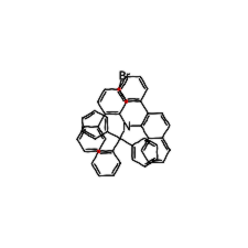 Brc1ccc(-c2ccccc2)c(N(c2c(-c3ccccc3)ccc3ccccc23)C(c2ccccc2)(c2ccccc2)c2ccccc2)c1